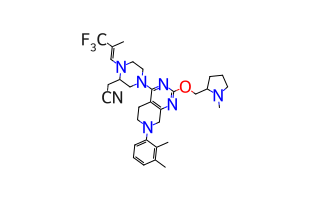 CC(=CN1CCN(c2nc(OCC3CCCN3C)nc3c2CCN(c2cccc(C)c2C)C3)CC1CC#N)C(F)(F)F